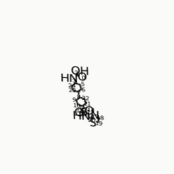 O=C(O)Nc1ccc(-c2ccc(S(=O)(=O)Nc3nccs3)cc2)cc1